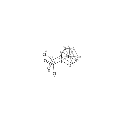 O=C(Cl)[C]12[CH]3[CH]4[CH]5[CH]1[Fe]45321678[CH]2[CH]1[CH]6[C]7(C(=O)Cl)[CH]28